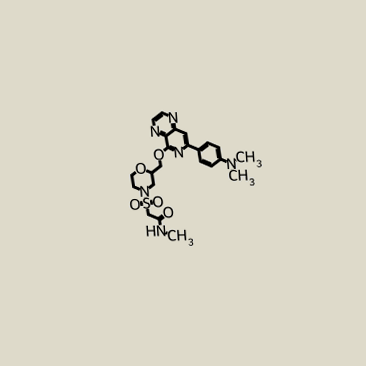 CNC(=O)CS(=O)(=O)N1CCOC(COc2nc(-c3ccc(N(C)C)cc3)cc3nccnc23)C1